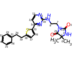 CC1(C)NC(=O)N(CCNc2nccc(-c3ccc(CCc4ccccc4)s3)n2)C1=O